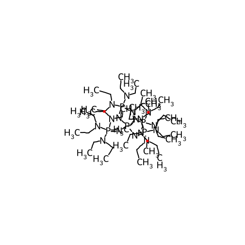 CCN(CC)P(=N[P+](N=P(N(CC)CC)(N(CC)CC)N(CC)CC)(N=P(N(CC)CC)(N(CC)CC)N(CC)CC)N=P(N(CC)CC)(N(CC)CC)N(CC)CC)(N(CC)CC)N(CC)CC